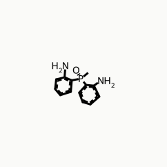 CP(=O)(c1ccccc1N)c1ccccc1N